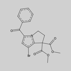 COC(=O)C1(C(=O)OC)CCn2c(C(=O)c3ccccc3)cc(Br)c21